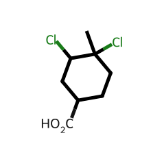 CC1(Cl)CCC(C(=O)O)CC1Cl